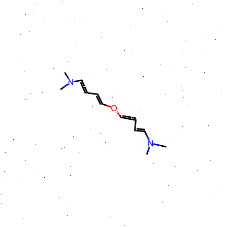 CN(C)C=CC=COC=CC=CN(C)C